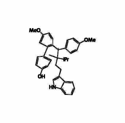 COc1ccc([C](c2ccc(OC)cc2-c2ccc(O)cc2)C(C)(CCc2c[nH]c3ccccc23)C(C)C)cc1